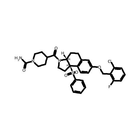 NC(=O)N1CCC(C(=O)N2CC[C@@]3(S(=O)(=O)c4ccccc4)c4ccc(OCc5c(F)cccc5Cl)cc4CC[C@@H]23)CC1